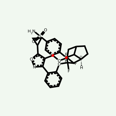 NS(=O)(=O)c1ccc(NC2C3CC[C@H]2CC(OCc2c(-c4ccccc4OC(F)(F)F)noc2C2CC2)C3)nc1